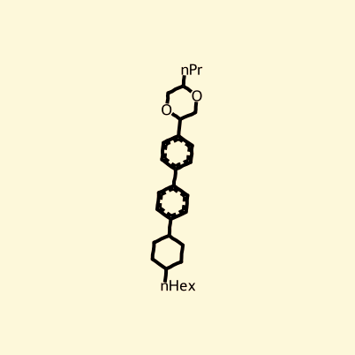 CCCCCCC1CCC(c2ccc(-c3ccc(C4COC(CCC)CO4)cc3)cc2)CC1